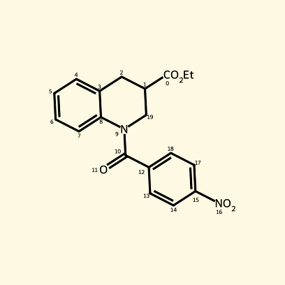 CCOC(=O)C1Cc2ccccc2N(C(=O)c2ccc([N+](=O)[O-])cc2)C1